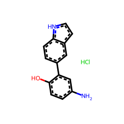 Cl.Nc1ccc(O)c(-c2ccc3[nH]ccc3c2)c1